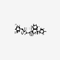 C[C@H](NC(=O)Cc1cc(F)cc(F)c1)C(=O)N[C@@H]1C(=O)N[C@H](c2ccccc2)c2ccccc21